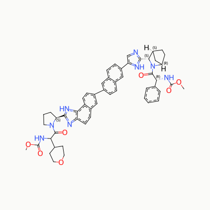 COC(=O)NC(C(=O)N1CCC[C@H]1c1nc2ccc3cc(-c4ccc5cc(-c6cnc([C@@H]7[C@H]8CC[C@H](C8)N7C(=O)[C@H](NC(=O)OC)c7ccccc7)[nH]6)ccc5c4)ccc3c2[nH]1)C1CCOCC1